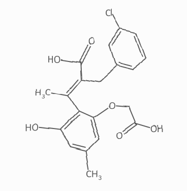 CC(=C(Cc1cccc(Cl)c1)C(=O)O)c1c(O)cc(C)cc1OCC(=O)O